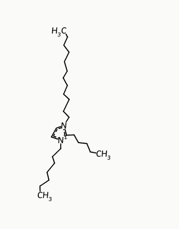 CCCCCCCCCCCCn1cc[n+](CCCCCCC)c1CCCCC